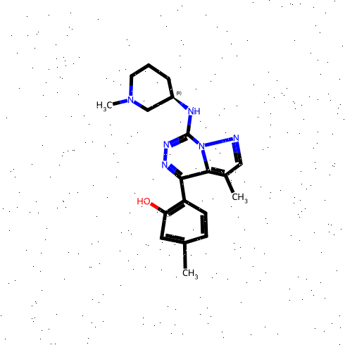 Cc1ccc(-c2nnc(N[C@@H]3CCCN(C)C3)n3ncc(C)c23)c(O)c1